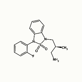 C[C@@H](CN)CN1c2ccccc2N(c2ccccc2F)S1(=O)=O